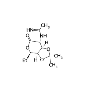 CC[C@H]1OC(=O)[C@H](NC(C)=N)[C@H]2OC(C)(C)O[C@H]21